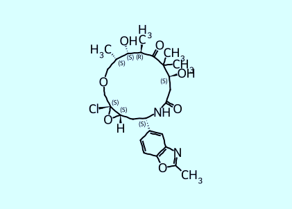 Cc1nc2cc([C@@H]3C[C@@H]4O[C@]4(Cl)COC[C@H](C)[C@H](O)[C@@H](C)C(=O)C(C)(C)[C@@H](O)CC(=O)N3)ccc2o1